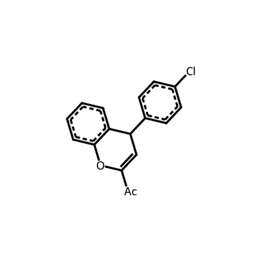 CC(=O)C1=CC(c2ccc(Cl)cc2)c2ccccc2O1